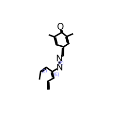 C=C/C=C(\C=C/C)/N=N/C=C1C=C(C)C(=O)C(C)=C1